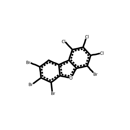 Clc1c(Cl)c(Cl)c2c(oc3c(Br)c(Br)c(Br)cc32)c1Br